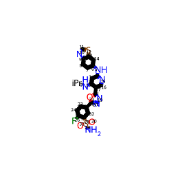 CC(C)Nc1cc(Nc2ccc3ncsc3c2)ncc1-c1nnc(-c2ccc(F)c(S(N)(=O)=O)c2)o1